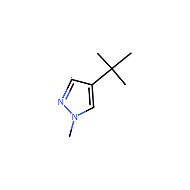 Cn1cc(C(C)(C)C)[c]n1